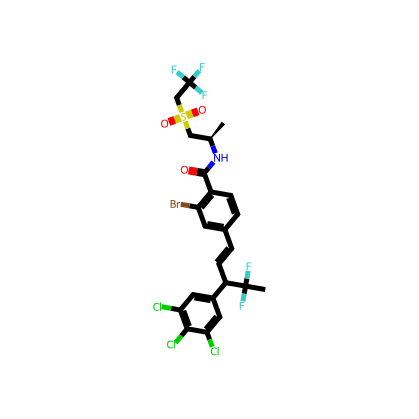 C[C@H](CS(=O)(=O)CC(F)(F)F)NC(=O)c1ccc(/C=C/C(c2cc(Cl)c(Cl)c(Cl)c2)C(C)(F)F)cc1Br